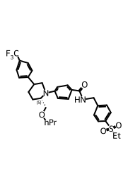 CCCOC[C@@H]1CCC(c2ccc(C(F)(F)F)cc2)CN1c1ccc(C(=O)NCc2ccc(S(=O)(=O)CC)cc2)cc1